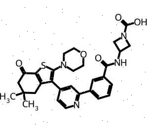 CC1(C)CC(=O)c2sc(N3CCOCC3)c(-c3ccnc(-c4cccc(C(=O)NC5CN(C(=O)O)C5)c4)c3)c2C1